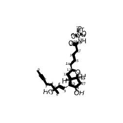 CC#CCCC(C)(O)C=C[C@@H]1[C@H]2C[C@@H](CCCCC(=O)NS(=O)(=O)C(C)C)O[C@H]2C[C@H]1O